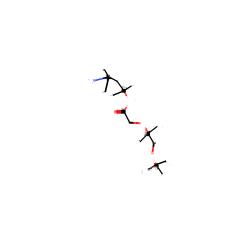 CC(C)(N)CC(C)(C)OC(=O)COC(C)(C)COC(C)(C)C(C)(C)C